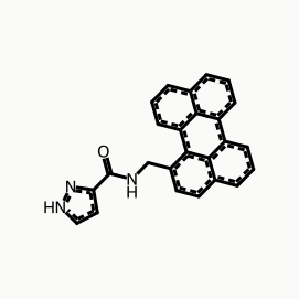 O=C(NCc1ccc2cccc3c4cccc5cccc(c1c23)c54)c1cc[nH]n1